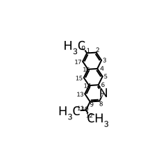 Cc1ccc2cc3ncc(C(C)C)cc3cc2c1